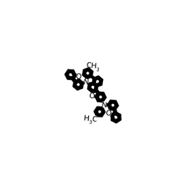 Cc1ccc(N(c2ccc3c(c2)oc2cc4c5c(cccc5c23)-c2cc(C)ccc2N4c2cccc3c2oc2ccccc23)c2cccc3c2oc2ccccc23)cc1